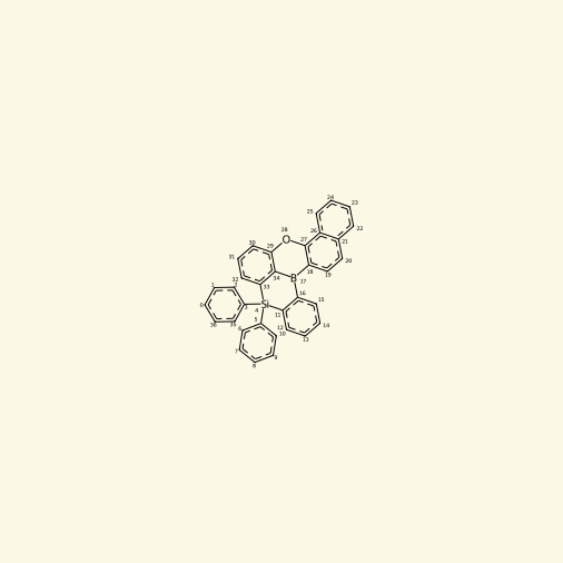 c1ccc([Si]2(c3ccccc3)c3ccccc3B3c4ccc5ccccc5c4Oc4cccc2c43)cc1